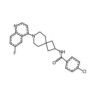 O=C(NC1CC2(CCN(c3ccnc4ccc(F)cc34)CC2)C1)c1ccc(Cl)cc1